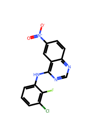 O=[N+]([O-])c1ccc2ncnc(Nc3cccc(Cl)c3F)c2c1